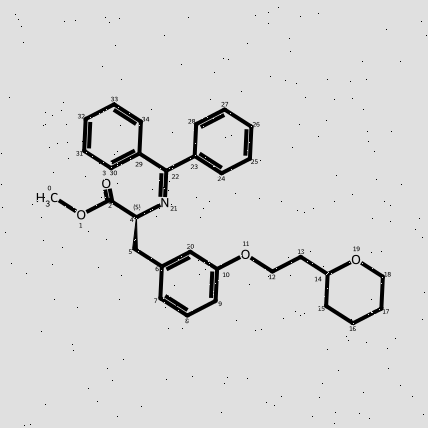 COC(=O)[C@H](Cc1cccc(OCCC2CCCCO2)c1)N=C(c1ccccc1)c1ccccc1